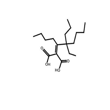 CCCCC(=C(C(=O)O)C(=O)O)C(CC)(CCC)CCCC